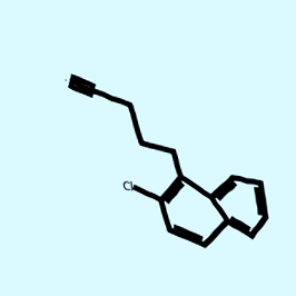 [C]#CCCCc1c(Cl)ccc2ccccc12